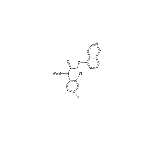 CCCCCN(C(=O)COc1cccc2cnccc12)c1ccc(F)cc1Cl